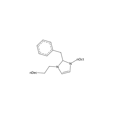 CCCCCCCCCCCCN1C=CN(CCCCCCCC)C1Cc1ccccc1